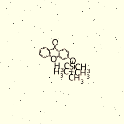 CC(C)(C)[Si](C)(C)Oc1ccc2c(=O)c3ccccc3oc2c1